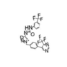 O=C([N-]c1c[n+](Cc2ccc(-c3cncnc3C(F)(F)F)cc2)no1)Nc1cccc(C(F)(F)F)c1